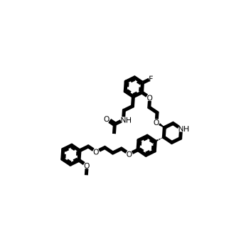 COc1ccccc1COCCCOc1ccc([C@H]2CCNC[C@@H]2OCCOc2c(F)cccc2CCNC(C)=O)cc1